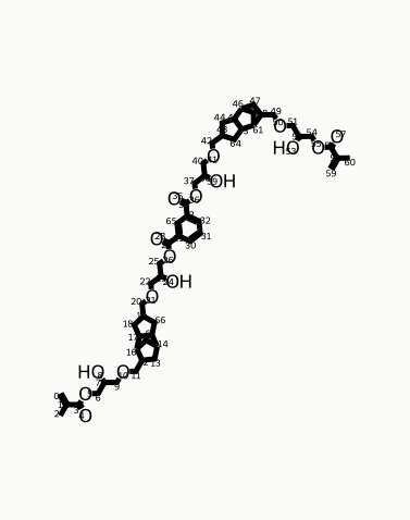 C=C(C)C(=O)OCC(O)COCC1CC2CC1C1CC(COCC(O)COC(=O)c3cccc(C(=O)OCC(O)COCC4CC5C6CC(COCC(O)COC(=O)C(=C)C)C(C6)C5C4)c3)CC21